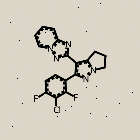 Fc1ccc(-c2nn3c(c2-c2nc4ccccn4n2)CCC3)c(F)c1Cl